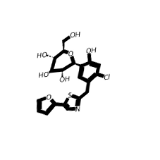 OC[C@H]1O[C@@H](c2cc(Cc3ncc(-c4ccco4)s3)c(Cl)cc2O)[C@H](O)[C@@H](O)[C@@H]1O